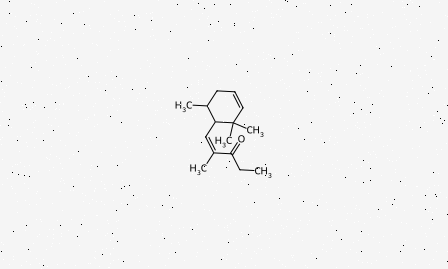 CCC(=O)/C(C)=C\C1C(C)CC=CC1(C)C